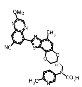 COc1cnc2c(-c3nc4c(C)cc5c(c4s3)OC[C@@H](CN(C(=O)O)c3ccc(C)nc3)O5)cc(C#N)cc2n1